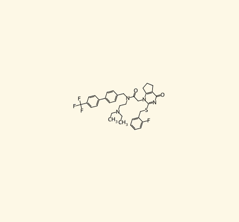 CCN(CC)CCN(Cc1ccc(-c2ccc(C(F)(F)F)cc2)cc1)C(=O)Cn1c(SCc2ccccc2F)nc(=O)c2c1CCC2